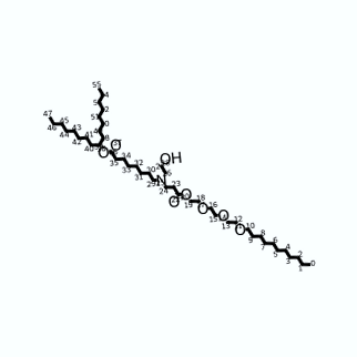 CCCCCCCCCCCOCCOCCOCCOC(=O)CCN(CCO)CCCCCCCC(=O)OC(CCCCCCCC)CCCCCCCC